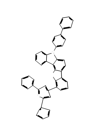 c1ccc(-c2ccc(-n3c4ccccc4c4c5sc6c(-c7cc(-c8ccccc8)nc(-c8ccccc8)c7)cccc6c5ccc43)cc2)cc1